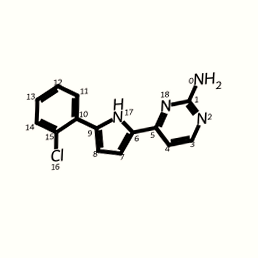 Nc1nccc(-c2ccc(-c3ccccc3Cl)[nH]2)n1